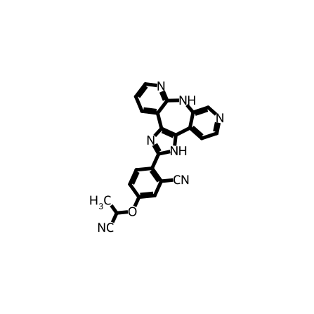 CC(C#N)Oc1ccc(-c2nc3c([nH]2)-c2ccncc2Nc2ncccc2-3)c(C#N)c1